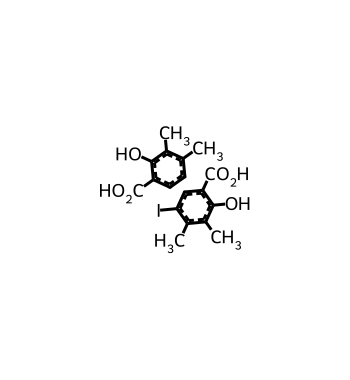 Cc1c(I)cc(C(=O)O)c(O)c1C.Cc1ccc(C(=O)O)c(O)c1C